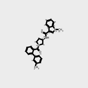 Cc1cccc(-c2ccccc2C(=O)N2CC[C@@H](NC(=O)c3cn(C)c4ccccc34)C2)c1